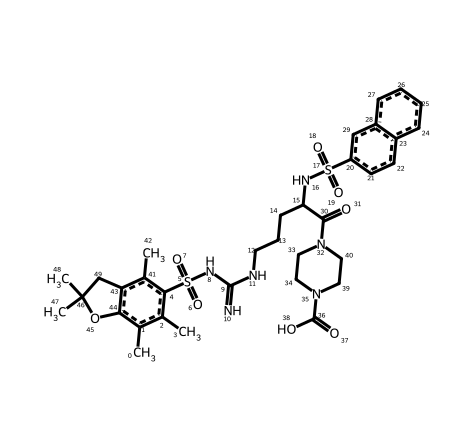 Cc1c(C)c(S(=O)(=O)NC(=N)NCCCC(NS(=O)(=O)c2ccc3ccccc3c2)C(=O)N2CCN(C(=O)O)CC2)c(C)c2c1OC(C)(C)C2